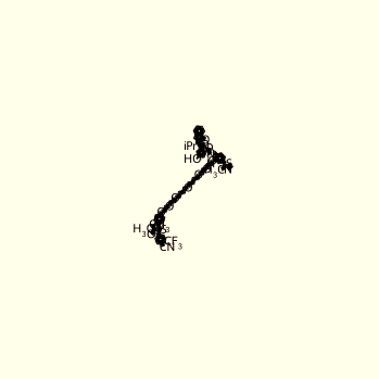 Cc1ncsc1-c1ccc(CNC(=O)[C@@H]2C[C@@H](O)CN2C(=O)C(C(C)C)N2Cc3ccccc3C2=O)c(OCCOCCOCCCCOCCCCOCCOCCOc2ccc(N3C(=S)N(c4ccc(C#N)c(C(F)(F)F)c4)C(=O)C3(C)C)cc2)c1